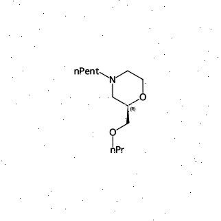 CCCCCN1CCO[C@@H](COCCC)C1